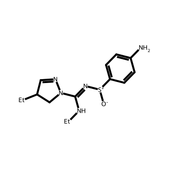 CCN/C(=N\[S+]([O-])c1ccc(N)cc1)N1CC(CC)C=N1